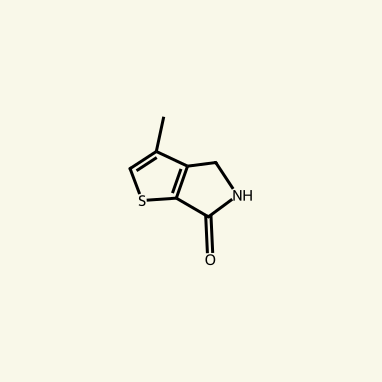 Cc1csc2c1CNC2=O